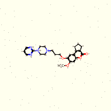 COc1cc2oc(=O)c3c(c2cc1OCCCN1CCN(c2ncccn2)CC1)CCC3